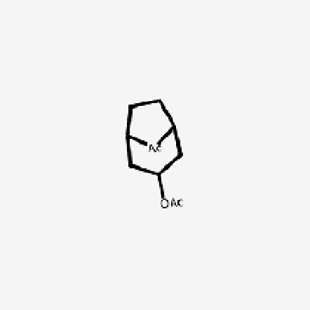 CC(=O)OC1C[CH]2CC[CH](C1)[Ac]2